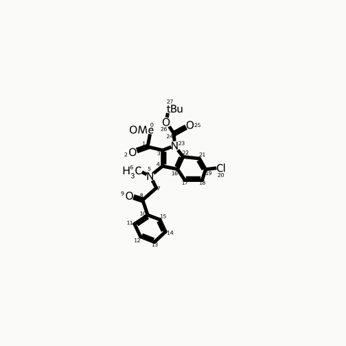 COC(=O)c1c(N(C)CC(=O)c2ccccc2)c2ccc(Cl)cc2n1C(=O)OC(C)(C)C